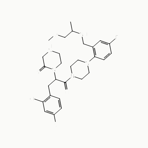 COCC(C)NCc1cc(F)ccc1N1CCN(C(=O)C(Cc2ccc(Cl)cc2Cl)N2CCNCC2=O)CC1